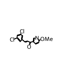 COc1ccc(C(=O)C=Cc2cc(Cl)cc(Cl)c2)cn1